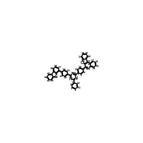 c1ccc(-c2nc(-c3ccc(-c4nc5ccccc5c5c4oc4ccccc45)cc3)nc(-c3ccc(-c4cccc5c4sc4ccccc45)cc3)n2)cc1